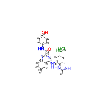 CC(=N)N[C@@H]1CCCC[C@@H]1Nc1nc(C(=O)N[C@H]2CC[C@H](O)CC2)nc2ccc(C)cc12.Cl.Cl